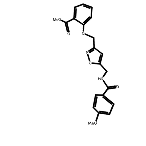 COC(=O)c1ccccc1OCc1cc(CNC(=O)c2ccc(OC)cc2)on1